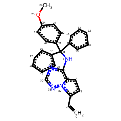 C=Cc1ccc2c(NC(c3ccccc3)(c3ccccc3)c3ccc(OC)cc3)ncnn12